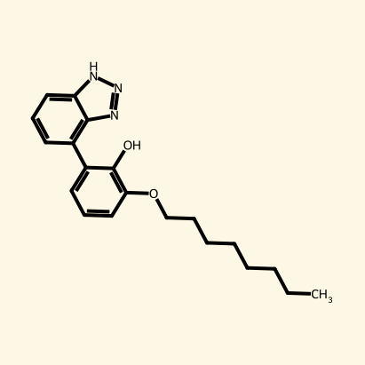 CCCCCCCCOc1cccc(-c2cccc3[nH]nnc23)c1O